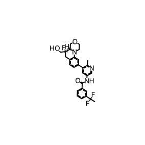 Cc1ncc(NC(=O)c2cccc(C(C)(F)F)c2)cc1-c1ccc2c(c1)N1CCOC[C@H]1[C@](F)(CO)C2